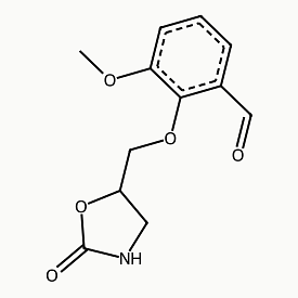 COc1cccc(C=O)c1OCC1CNC(=O)O1